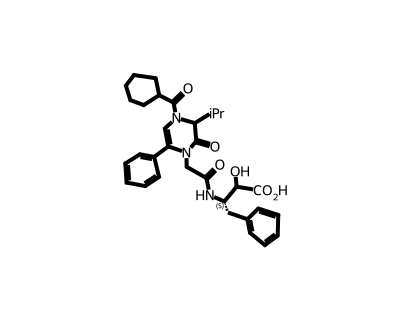 CC(C)C1C(=O)N(CC(=O)N[C@@H](Cc2ccccc2)C(O)C(=O)O)C(c2ccccc2)=CN1C(=O)C1CCCCC1